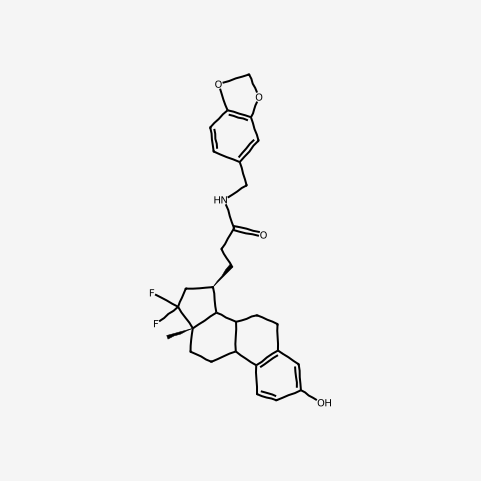 C[C@]12CCC3c4ccc(O)cc4CCC3C1[C@H](CCC(=O)NCc1ccc3c(c1)OCO3)CC2(F)F